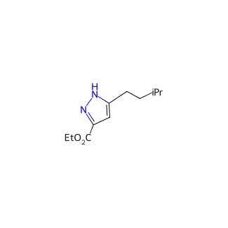 CCOC(=O)c1cc(CCC(C)C)[nH]n1